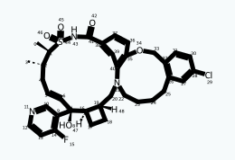 C[C@@H]1[C@@H](C)C/C=C/[C@@](O)(c2cnccc2F)[C@@H]2CC[C@H]2CN2CCCCc3cc(Cl)ccc3COc3ccc(cc32)C(=O)NS1(=O)=O